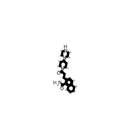 NC(=O)c1c(C[CH]C(=O)N2CCC(N3CCNCC3)CC2)ccc2c1CCCC2